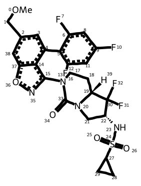 COCc1cc(-c2c(F)cc(F)cc2F)c2c(N3CC[C@H]4N(C[C@@H](NS(=O)(=O)C5CC5)C4(F)F)C3=O)noc2c1